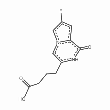 O=C(O)CCCc1cn2cc(F)cc2c(=O)[nH]1